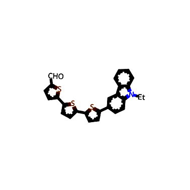 CCn1c2ccccc2c2cc(-c3ccc(-c4ccc(-c5ccc(C=O)s5)s4)s3)ccc21